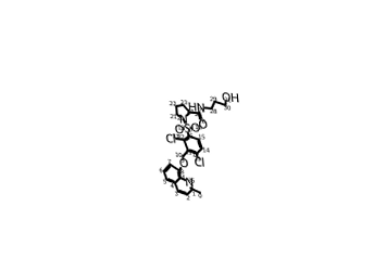 Cc1ccc2cccc(OCc3c(Cl)ccc(S(=O)(=O)N4CCCC4C(=O)NCCCO)c3Cl)c2n1